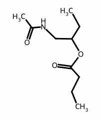 CCCC(=O)OC(CC)CNC(C)=O